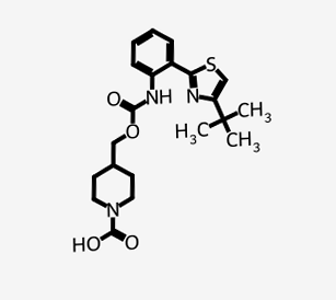 CC(C)(C)c1csc(-c2ccccc2NC(=O)OCC2CCN(C(=O)O)CC2)n1